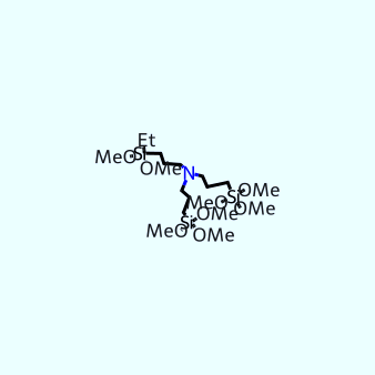 CC[Si](CCCN(CCC[Si](OC)(OC)OC)CCC[Si](OC)(OC)OC)(OC)OC